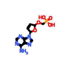 Nc1ncnc2c1ncn2C1C=CC(OCP(=O)(O)O)O1